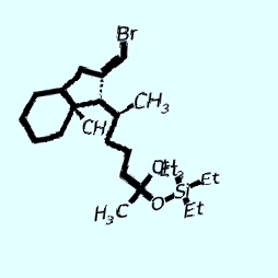 CC[Si](CC)(CC)OC(C)(C)CCC[C@H](C)[C@H]1C(=CBr)CC2CCCC[C@]21C